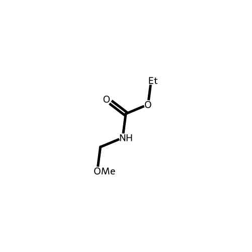 CCOC(=O)NCOC